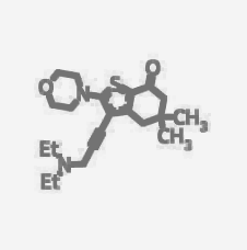 CCN(CC)CC#Cc1c(N2CCOCC2)sc2c1CC(C)(C)CC2=O